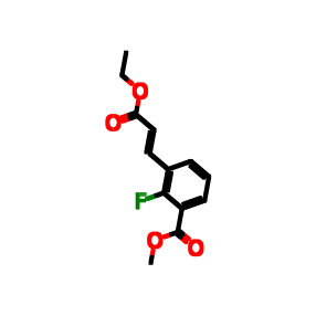 CCOC(=O)C=Cc1cccc(C(=O)OC)c1F